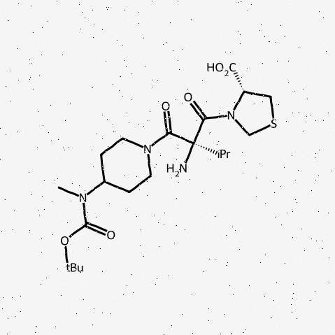 CC(C)[C@](N)(C(=O)N1CCC(N(C)C(=O)OC(C)(C)C)CC1)C(=O)N1CSC[C@H]1C(=O)O